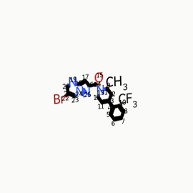 CC1CC(c2ccccc2C(F)(F)F)=CCN1C(=O)c1cc2ncc(Br)cn2n1